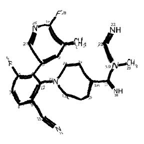 Cc1cc(-c2c(F)ccc(C#N)c2N2CCC(C(=N)N(C)C=N)CC2)cnc1F